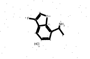 CC(N)c1cccc2c(F)coc12.Cl